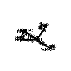 CC(=O)NC1C(OCCOCCOCCNC(=O)CCOCC(COCCC(=O)NCCOCCOCCOC2OC(CO)C(O)C(O)C2NC(C)=O)(COCCC(=O)NCCOCCOCCOC2OC(CO)C(O)C(O)C2NC(C)=O)NC(=O)CCCCCCCCCCC(=O)NCCOC2(OCCNC(=O)OCc3ccccc3)CCCC2)OC(CO)C(O)C1O